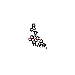 CC1(C)c2ccccc2-c2ccc(-c3ccc(N(c4cccc(-c5cccc6c5sc5ccccc56)c4)c4ccccc4-c4cccc5cccc(C6CCCCC6)c45)cc3)cc21